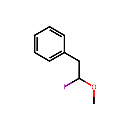 COC(I)Cc1ccccc1